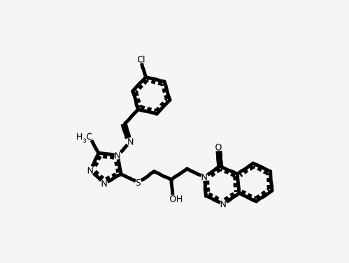 Cc1nnc(SCC(O)Cn2cnc3ccccc3c2=O)n1N=Cc1cccc(Cl)c1